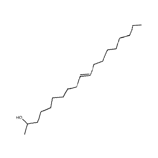 CCCCCCCC/C=C/CCCCCCCC(C)O